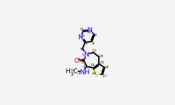 CNC1C(=O)N(Cc2ccncn2)CCc2ccsc21